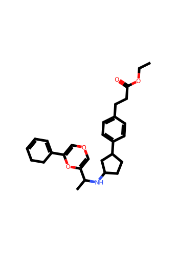 CCOC(=O)CCc1ccc(C2CCC(NC(C)C3=COC=C(C4=CC=CCC4)O3)C2)cc1